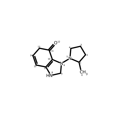 CC1CCCN1N1[CH]NC2=C1C(=O)CC=C2